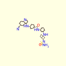 CS(N)(=O)=NC1CC2(Nc3cccc(NC(=O)c4ccc(Nc5ccnc6ccc(C#N)cc56)cc4)c3)CCC12